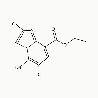 CCOC(=O)c1cc(Cl)c(N)n2cc(Cl)nc12